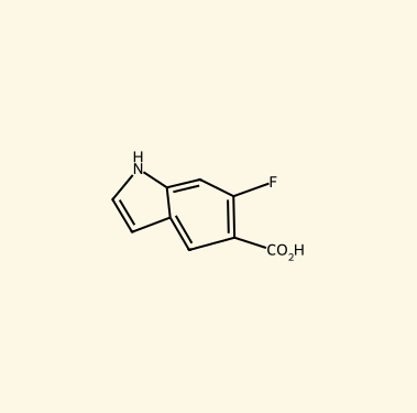 O=C(O)c1cc2cc[nH]c2cc1F